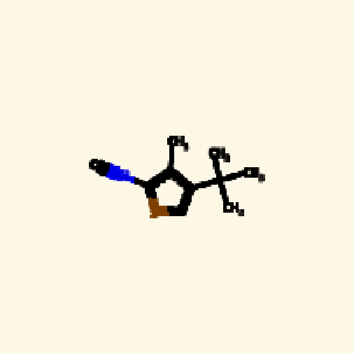 [C-]#[N+]c1scc(C(C)(C)C)c1C